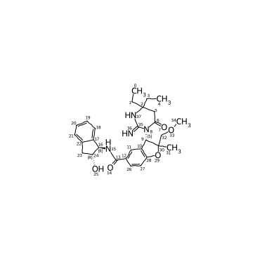 CCC1(CC)CC(=O)N([C@H]2c3cc(C(=O)N[C@@H]4c5ccccc5C[C@H]4O)ccc3OC2(C)COC)C(=N)N1